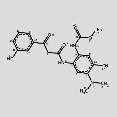 CN(C)c1cc(NC(=O)CC(=O)c2cccc(C#N)c2)c(NC(=O)OC(C)(C)C)cc1C#N